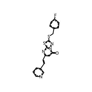 O=c1cc(/C=C/c2cccnc2)nc2sc(SCc3ccc(F)cc3)nn12